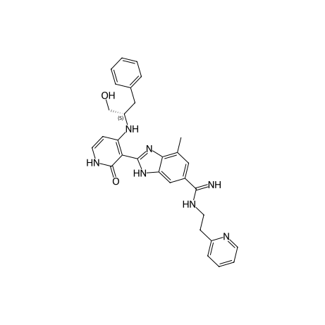 Cc1cc(C(=N)NCCc2ccccn2)cc2[nH]c(-c3c(N[C@H](CO)Cc4ccccc4)cc[nH]c3=O)nc12